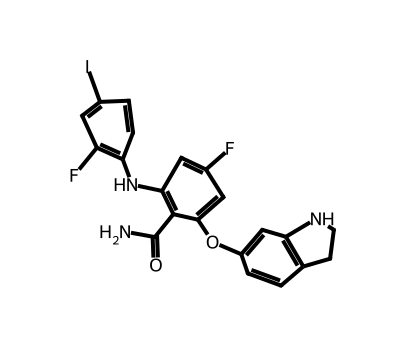 NC(=O)c1c(Nc2ccc(I)cc2F)cc(F)cc1Oc1ccc2c(c1)NCC2